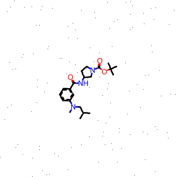 CC(C)CN(C)c1cccc(C(=O)NC2CCN(C(=O)OC(C)(C)C)C2)c1